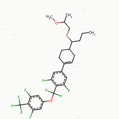 CCCC(SCC(C)OC)C1CC=C(c2cc(F)c(C(F)(F)Oc3cc(F)c(C(F)(F)F)c(F)c3)c(F)c2)CC1